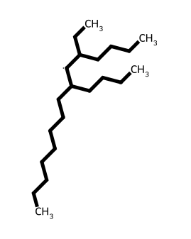 CCCCCCCCC([CH]C(CC)CCCC)CCCC